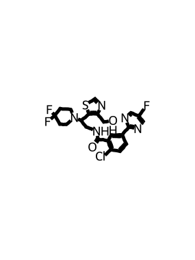 O=C(NCC(c1scnc1CO)N1CCC(F)(F)CC1)c1cc(-c2ncc(F)cn2)ccc1Cl